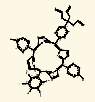 C=CCC(CC=C)(CC=C)c1ccc(C2=C3C=CC(=N3)C(c3ccc(C)cc3)=C3C=CC(=N3)C(c3c(F)c(F)c(F)c(F)c3F)=C3C=CC(=N3)C(c3ccc(C)cc3)=C3C=CC2=N3)cc1